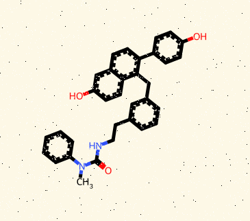 CN(C(=O)NCCc1cccc(Cc2c(-c3ccc(O)cc3)ccc3cc(O)ccc23)c1)c1ccccc1